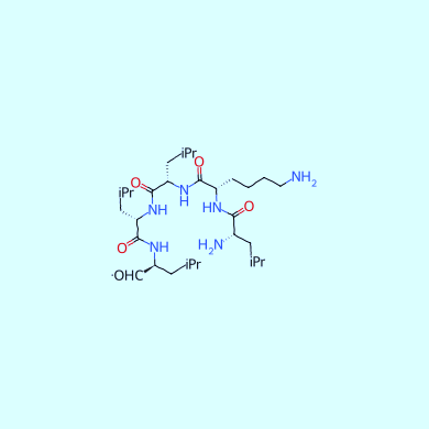 CC(C)C[C@@H]([C]=O)NC(=O)[C@H](CC(C)C)NC(=O)[C@H](CC(C)C)NC(=O)[C@H](CCCCN)NC(=O)[C@@H](N)CC(C)C